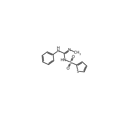 C/N=C(/Nc1ccccc1)NS(=O)(=O)c1cccs1